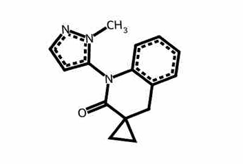 Cn1nccc1N1C(=O)C2(CC2)Cc2ccccc21